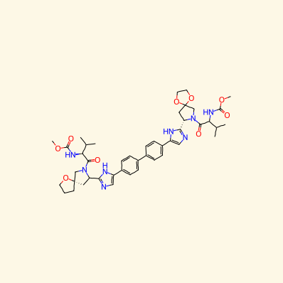 COC(=O)NC(C(=O)N1CC2(C[C@H]1c1ncc(-c3ccc(-c4ccc(-c5cnc(C6C[C@@]7(CCCO7)CN6C(=O)[C@@H](NC(=O)OC)C(C)C)[nH]5)cc4)cc3)[nH]1)OCCO2)C(C)C